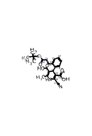 CC1=C(C(=O)O)C(c2ccccc2/C=C/C(=O)OC(C)(C)C)C(C(=O)O)=C(C#N)N1